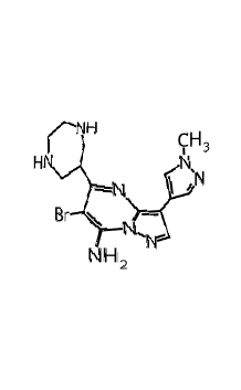 Cn1cc(-c2cnn3c(N)c(Br)c(C4CNCCNC4)nc23)cn1